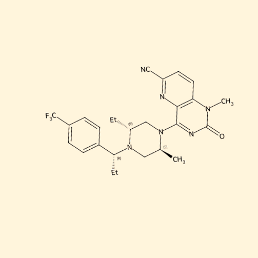 CC[C@@H]1CN(c2nc(=O)n(C)c3ccc(C#N)nc23)[C@@H](C)CN1[C@H](CC)c1ccc(C(F)(F)F)cc1